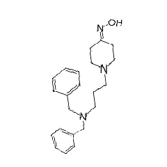 ON=C1CCN(CCCN(Cc2ccccc2)Cc2ccccc2)CC1